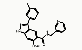 COc1cc2[nH]nc(-c3cccc(F)c3)c2cc1C(=O)NCc1cccnc1